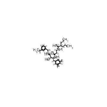 CCCC(CCC)C(=N)NCCC(=O)N[C@@H](Cc1cc(F)cc(F)c1)[C@H](O)CNCc1cccc(CC)c1